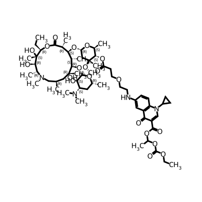 CCOC(=O)OC(C)OC(=O)c1cn(C2CC2)c2ccc(NCCOCCC(=O)O[C@H]3[C@H](C)O[C@@H](O[C@H]4[C@H](C)[C@@H](O[C@@H]5O[C@H](C)C[C@H](N(C)C)[C@@H]5O)[C@](C)(O)C[C@@H](C)CN(C)[C@H](C)[C@@H](O)[C@](C)(O)[C@@H](CC)OC(=O)[C@@H]4C)C[C@@]3(C)OC)cc2c1=O